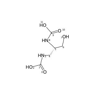 O=C(O)NC[C@@H](CO)NC(=O)O